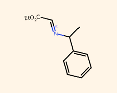 CCOC(=O)/C=N/C(C)c1ccccc1